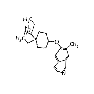 CCC(N)C1(CC)CCC(Oc2cc3ccncc3cc2C)CC1